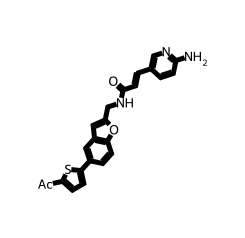 CC(=O)c1ccc(-c2ccc3oc(CNC(=O)/C=C/c4ccc(N)nc4)cc3c2)s1